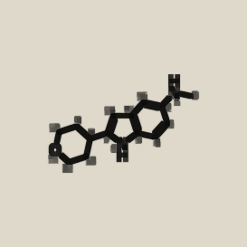 CNc1ccc2[nH]c(C3CCOCC3)cc2c1